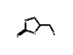 S=C1OC(CCl)CS1